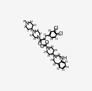 CN1CCC(N2CCN(C(=O)[C@@H](Cc3ccc(Cl)c(Cl)c3)OC(=O)N3CCC(N4CCc5ccccc5NC4)CC3)CC2)CC1